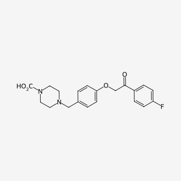 O=C(COc1ccc(CN2CCN(C(=O)O)CC2)cc1)c1ccc(F)cc1